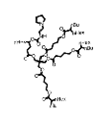 CCCCCCC(CCC(=O)OCC(COC(=O)CCCCOC(=O)C(CCCC)CCCCCC)(COC(=O)CCCCOC(=O)C(CCCC)CCCCCC)COC(=O)CCCCOC(=O)C(CCCC)CCCCCC)OC(=O)NCCN1CCCC1